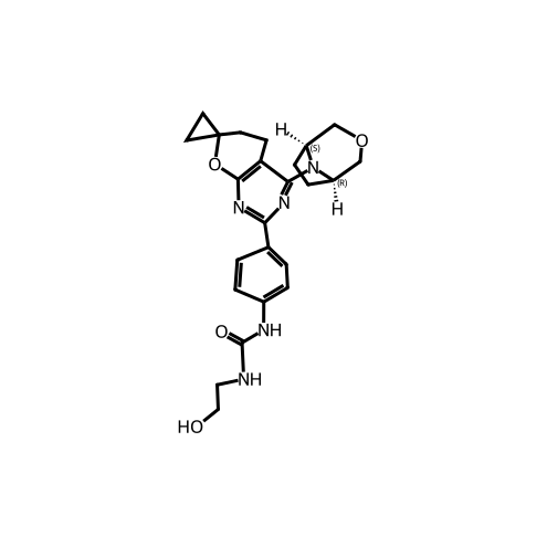 O=C(NCCO)Nc1ccc(-c2nc3c(c(N4[C@@H]5CC[C@H]4COC5)n2)CCC2(CC2)O3)cc1